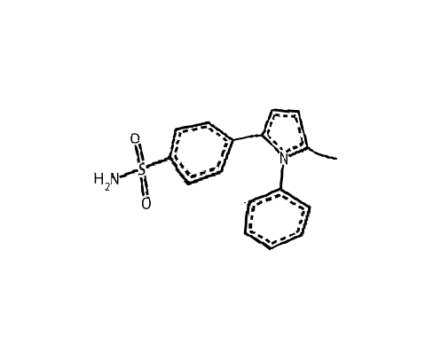 Cc1ccc(-c2ccc(S(N)(=O)=O)cc2)n1-c1[c]cccc1